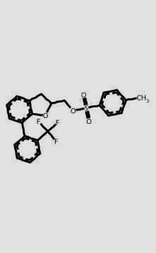 Cc1ccc(S(=O)(=O)OCC2Cc3cccc(-c4ccccc4C(F)(F)F)c3O2)cc1